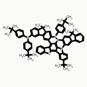 CC(C)(C)c1ccc(N2B3c4cc5c(cc4-n4c6ccc(C(C)(C)C)cc6c6c7oc8ccccc8c7c(c3c64)-c3cc4c(cc32)C(C)(C)c2ccc(N(c3ccc(C(C)(C)C)cc3)c3ccc(C(C)(C)C)cc3)cc2-4)-c2ccccc2C5(C)C)cc1